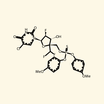 COc1ccc(OP(=S)(OC[C@@]2(C(F)F)O[C@@H](n3cc(Cl)c(=O)[nH]c3=O)[C@@H](F)[C@@H]2O)Oc2ccc(OC)cc2)cc1